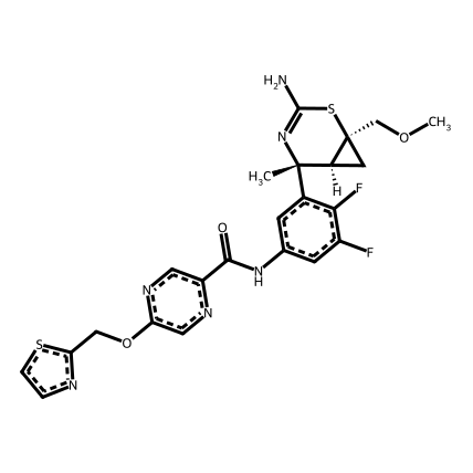 COC[C@]12C[C@H]1[C@](C)(c1cc(NC(=O)c3cnc(OCc4nccs4)cn3)cc(F)c1F)N=C(N)S2